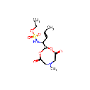 C/C=C/C(NS(=O)(=O)OCC(Cl)(Cl)Cl)B1OC(=O)CN(C)CC(=O)O1